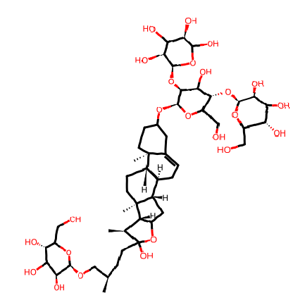 C[C@H](CCC1(O)OC2C[C@H]3[C@@H]4CC=C5CC(O[C@@H]6OC(CO)[C@@H](O[C@@H]7OC(CO)[C@@H](O)C(O)[C@@H]7O)C(O)[C@@H]6O[C@@H]6OC(O)[C@H](O)C(O)[C@@H]6O)CC[C@]5(C)[C@H]4CC[C@]3(C)[C@H]2[C@@H]1C)CO[C@@H]1OC(CO)[C@@H](O)C(O)[C@@H]1O